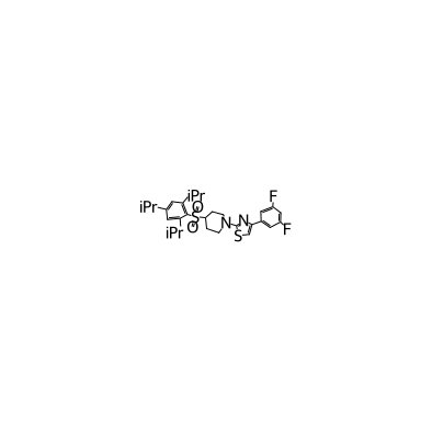 CC(C)c1cc(C(C)C)c(S(=O)(=O)C2CCN(c3nc(-c4cc(F)cc(F)c4)cs3)CC2)c(C(C)C)c1